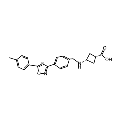 Cc1ccc(-c2nc(-c3ccc(CN[C@H]4C[C@@H](C(=O)O)C4)cc3)no2)cc1